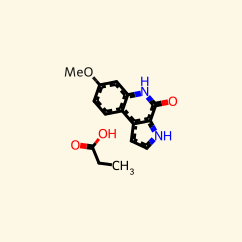 CCC(=O)O.COc1ccc2c(c1)[nH]c(=O)c1[nH]ccc12